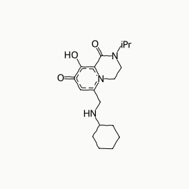 CC(C)N1CCn2c(CNC3CCCCC3)cc(=O)c(O)c2C1=O